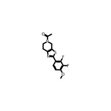 COc1ccc(-c2nc3c(s2)CN(C(C)=O)CC3)c(F)c1F